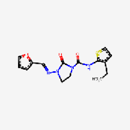 O=C(O)Cc1ccsc1NC(=O)N1CCN(N=Cc2ccco2)C1=O